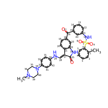 Cc1ccccc1S(=O)(=O)Nc1cccc(C(=O)c2ccc3c(c2)NC(=O)/C3=C/Nc2ccc(N3CCN(C)CC3)cc2)c1